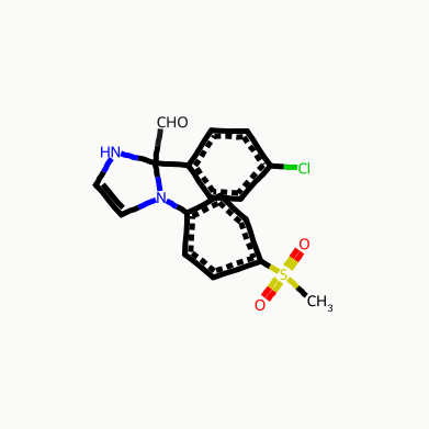 CS(=O)(=O)c1ccc(N2C=CNC2(C=O)c2ccc(Cl)cc2)cc1